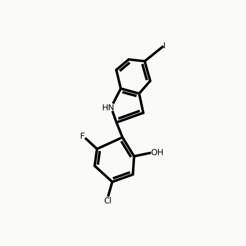 Oc1cc(Cl)cc(F)c1-c1cc2cc(I)ccc2[nH]1